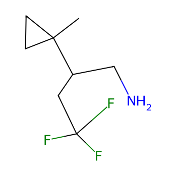 CC1(C(CN)CC(F)(F)F)CC1